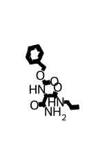 C=CCNC(=O)C(NC(=O)OCc1ccccc1)C(N)=O